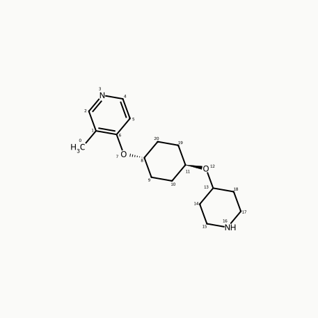 Cc1cnccc1O[C@H]1CC[C@H](OC2CCNCC2)CC1